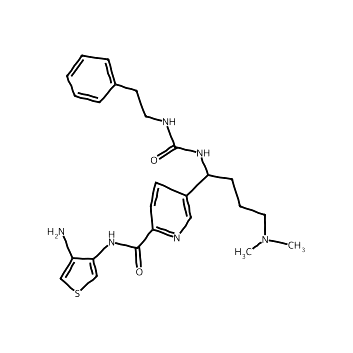 CN(C)CCCC(NC(=O)NCCc1ccccc1)c1ccc(C(=O)Nc2cscc2N)nc1